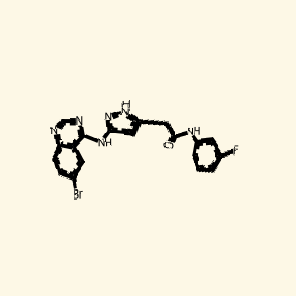 O=C(Cc1cc(Nc2ncnc3ccc(Br)cc23)n[nH]1)Nc1cccc(F)c1